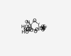 CCC1OC(=O)CC(O)C(C)C(OC2OC(C)C(O)C(N(C)C)C2O)C(CCN2CCCCC2)CC(C)C(=O)/C=C/C(C)=C/C1COS(=O)(=O)C(F)(F)F